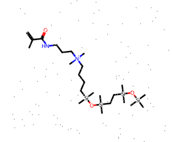 C=C(C)C(=O)NCCC[N+](C)(C)CCCC[Si](C)(C)O[Si](C)(C)CC[Si](C)(C)O[Si](C)(C)C